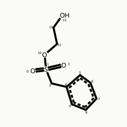 O=S(=O)(Cc1ccccc1)OCCO